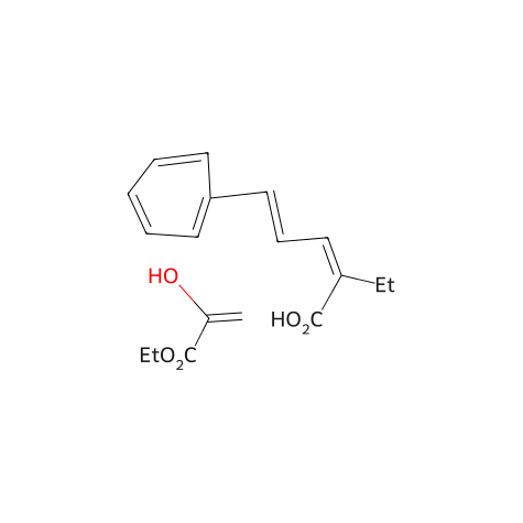 C=C(O)C(=O)OCC.CCC(=CC=Cc1ccccc1)C(=O)O